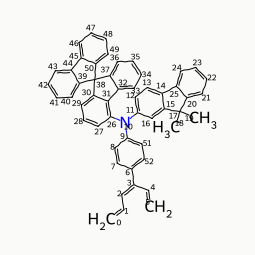 C=C/C=C(\C=C)c1ccc(N(c2ccc3c(c2)C(C)(C)c2ccccc2-3)c2cccc3c2-c2ccccc2C32c3ccccc3-c3ccccc32)cc1